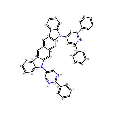 c1ccc(-c2cc(-n3c4ccccc4c4cc5cc6c7ccccc7n(-c7cnc(-c8ccccc8)nc7)c6cc5cc43)cc(-c3ccccc3)n2)cc1